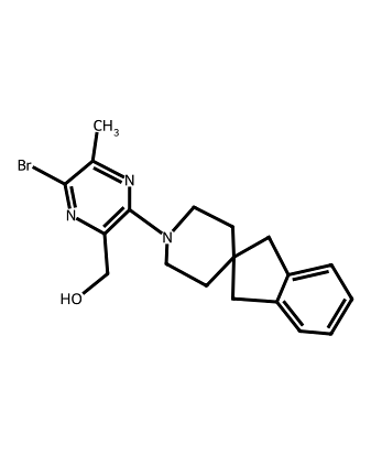 Cc1nc(N2CCC3(CC2)Cc2ccccc2C3)c(CO)nc1Br